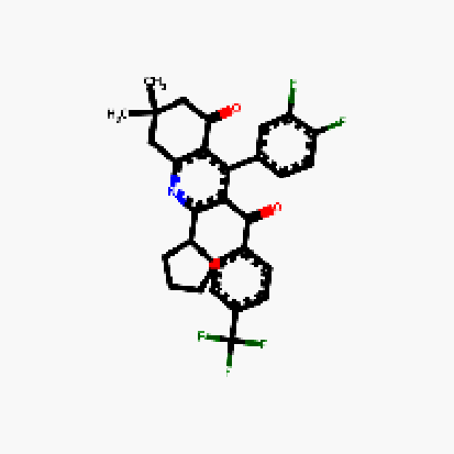 CC1(C)CC(=O)c2c(nc(C3CCCC3)c(C(=O)c3ccc(C(F)(F)F)cc3)c2-c2ccc(F)c(F)c2)C1